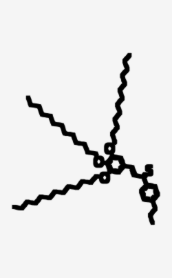 CCCCCCCCCCCCCOc1cc(C=CC(=S)c2ccc(CCC)cc2)cc(OCCCCCCCCCCCCC)c1OCCCCCCCCCCCCC